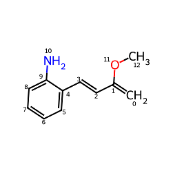 C=C(/C=C/c1ccccc1N)OC